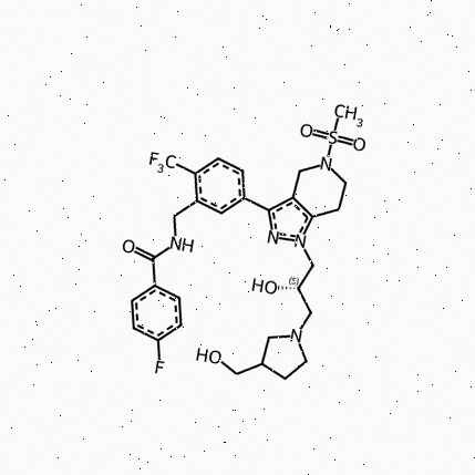 CS(=O)(=O)N1CCc2c(c(-c3ccc(C(F)(F)F)c(CNC(=O)c4ccc(F)cc4)c3)nn2C[C@@H](O)CN2CCC(CO)C2)C1